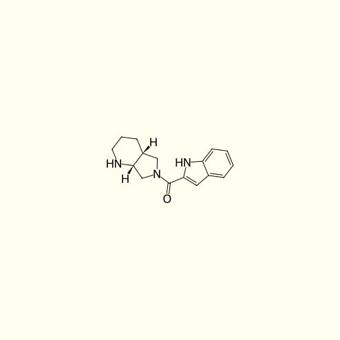 O=C(c1cc2ccccc2[nH]1)N1C[C@H]2CCCN[C@H]2C1